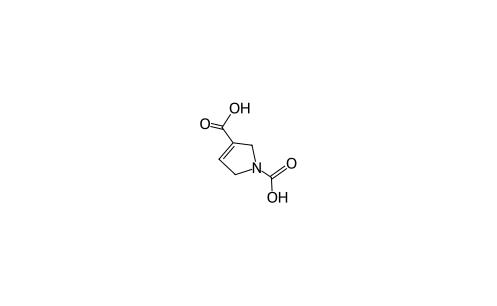 O=C(O)C1=CCN(C(=O)O)C1